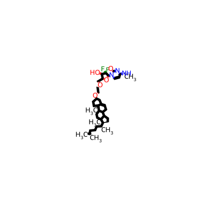 CNc1ccn(C2OC(COCCO[C@@H]3CC[C@]4(C)C(=CCC5C4CC[C@]4(C)C5CC[C@H]4[C@@H](C)CCCC(C)C)C3)C(O)C2(F)F)c(=O)n1